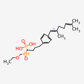 CCOC[PH](=O)C(CCCc1ccc(/C=C(\C)CCC=C(C)C)cc1)P(=O)(O)O